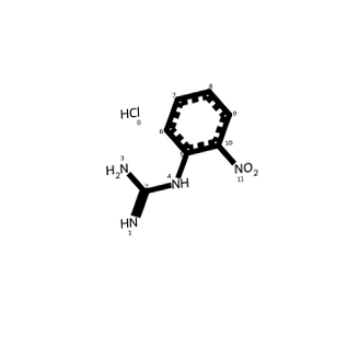 Cl.N=C(N)Nc1ccccc1[N+](=O)[O-]